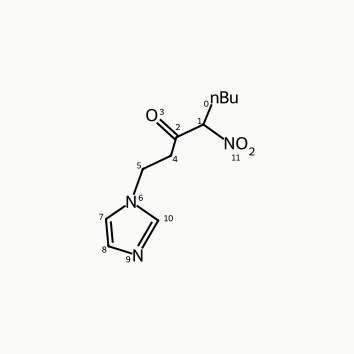 CCCCC(C(=O)CCn1ccnc1)[N+](=O)[O-]